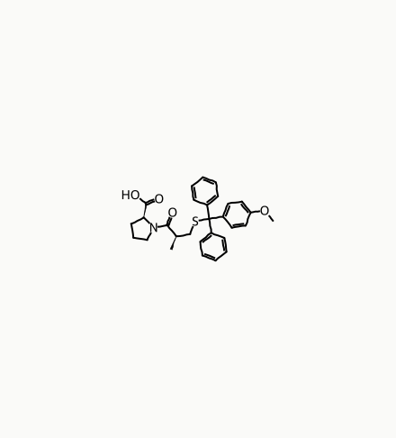 COc1ccc(C(SC[C@@H](C)C(=O)N2CCC[C@H]2C(=O)O)(c2ccccc2)c2ccccc2)cc1